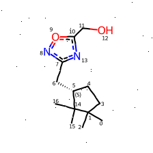 CC1(C)CC[C@@H](Cc2noc(CO)n2)C1(C)C